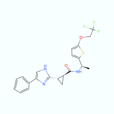 C[C@@H](NC(=O)[C@H]1C[C@@H]1c1nc(-c2ccccc2)c[nH]1)c1ccc(OCC(F)(F)F)s1